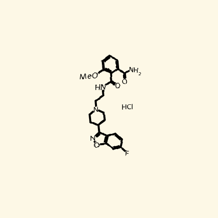 COc1cccc(C(N)=O)c1C(=O)NCCN1CCC(c2noc3cc(F)ccc23)CC1.Cl